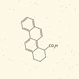 O=C(O)C1CCCc2ccc3c(ccc4ccccc43)c21